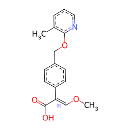 CO/C=C(/C(=O)O)c1ccc(COc2ncccc2C)cc1